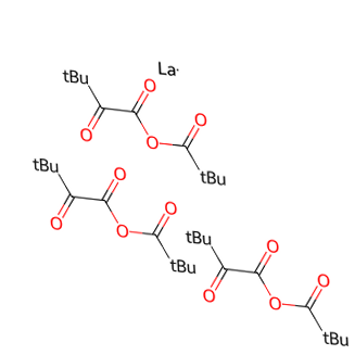 CC(C)(C)C(=O)OC(=O)C(=O)C(C)(C)C.CC(C)(C)C(=O)OC(=O)C(=O)C(C)(C)C.CC(C)(C)C(=O)OC(=O)C(=O)C(C)(C)C.[La]